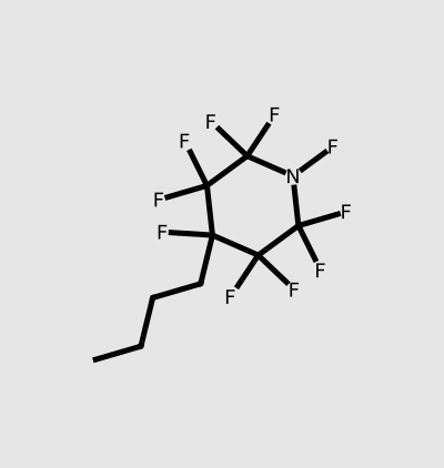 CCCCC1(F)C(F)(F)C(F)(F)N(F)C(F)(F)C1(F)F